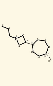 CCCN1CC([C@@H]2CCC[C@H](C)CC2)C1